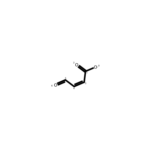 [O]C(=O)/C=C\[C]=O